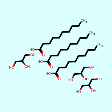 CCCCCCCCCC(=O)O.CCCCCCCCCC(=O)O.CCCCCCCCCC(=O)O.OCC(O)CO.OCC(O)CO.OCC(O)CO